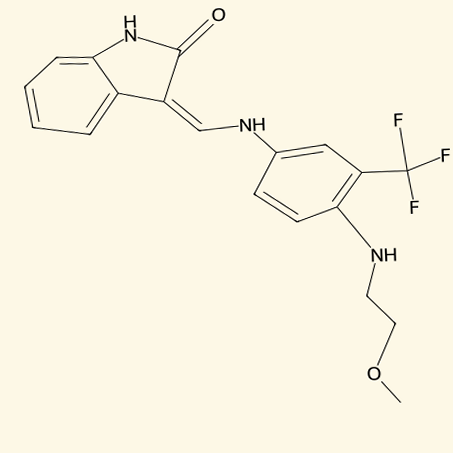 COCCNc1ccc(NC=C2C(=O)Nc3ccccc32)cc1C(F)(F)F